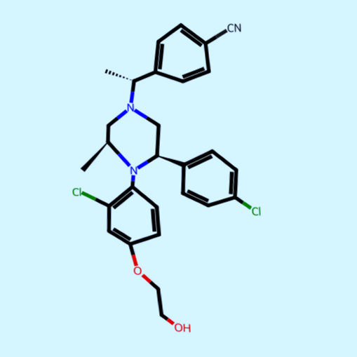 C[C@H](c1ccc(C#N)cc1)N1C[C@H](C)N(c2ccc(OCCO)cc2Cl)[C@H](c2ccc(Cl)cc2)C1